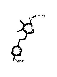 CCCCCCOc1ccc(CCc2ccc(CCCCC)cc2)c(C)c1C